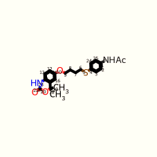 CC(=O)Nc1ccc(SCCCCOc2ccc3c(c2)C(C)(C)OC(=O)N3)cc1